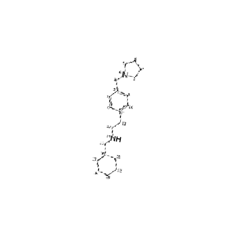 c1cc(CN2CCCC2)ccc1CCNCC1CCCCC1